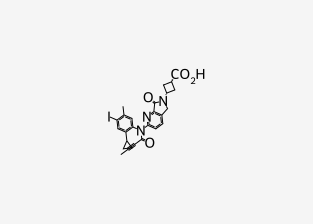 CC#CC(=O)N(c1ccc2c(n1)C(=O)N([C@H]1C[C@H](C(=O)O)C1)C2)c1cc(C)c(I)cc1C1CC1